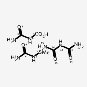 CSNC(N)=O.NC(=O)NC(=O)O.NC(=O)NC(N)=O